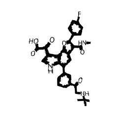 CNC(=O)c1c(-c2ccc(F)cc2)oc2c1cc(-c1cccc(C(=O)CNC(C)(C)C)c1)c1[nH]cc(C(=O)C(=O)O)c12